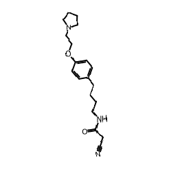 N#CCC(=O)NCCCCc1ccc(OCCN2CCCC2)cc1